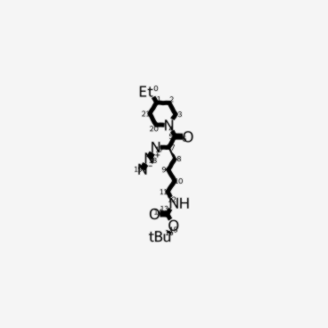 CCC1CCN(C(=O)[C@@H](CCCCNC(=O)OC(C)(C)C)N=[N+]=[N-])CC1